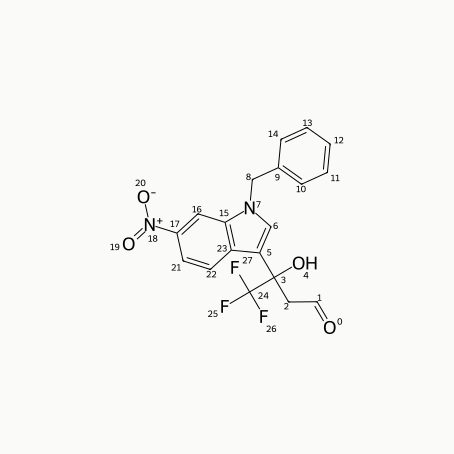 O=CCC(O)(c1cn(Cc2ccccc2)c2cc([N+](=O)[O-])ccc12)C(F)(F)F